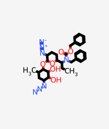 CCC(C1CCC(N=[N+]=[N-])C(OC2C(C)CC(N=[N+]=[N-])C(O)C2O)O1)N(Cc1ccccc1)C(=O)OCc1ccccc1